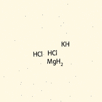 Cl.Cl.[KH].[MgH2]